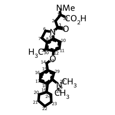 CNC(CC(=O)N1CCc2c1ccc(OCc1ccc(C3CCCCC3)c(N(C)C)c1)c2C)C(=O)O